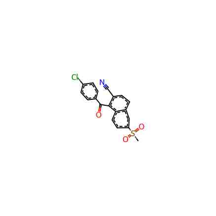 CS(=O)(=O)c1ccc2c(C(=O)c3ccc(Cl)cc3)c(C#N)ccc2c1